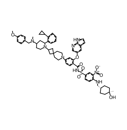 COc1ccc(CN(C)C2CCN(C3CC4(CCN(c5ccc(C(=O)NS(=O)(=O)c6ccc(NC[C@H]7CC[C@](C)(O)CC7)c([N+](=O)[O-])c6)c(Oc6cnc7[nH]ccc7c6)c5)CC4)C3)C(c3ccccc3C3CC3)C2)cc1